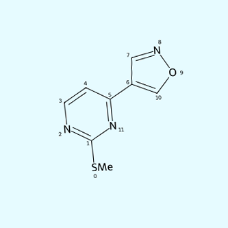 CSc1nccc(-c2cnoc2)n1